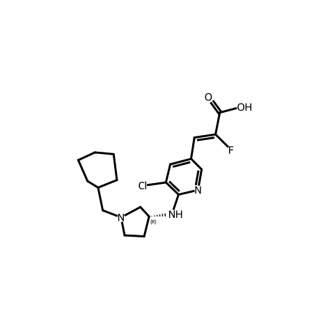 O=C(O)C(F)=Cc1cnc(N[C@@H]2CCN(CC3CCCCC3)C2)c(Cl)c1